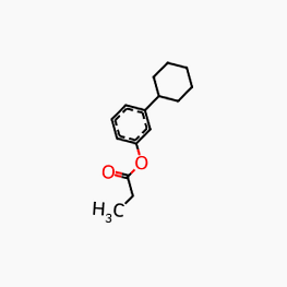 CCC(=O)Oc1cccc(C2CCCCC2)c1